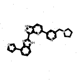 c1cc(-c2ccoc2)c2nc(-c3n[nH]c4ccc(-c5cncc(CN6CCCC6)c5)nc34)[nH]c2c1